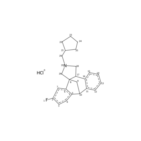 Cl.Fc1ccc2c(c1)C13CC2c2ccccc2C1CN(CC1CCCC1)C3